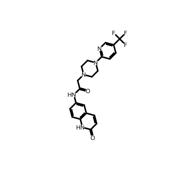 O=C(CN1CCN(c2ccc(C(F)(F)F)cn2)CC1)Nc1ccc2[nH]c(=O)ccc2c1